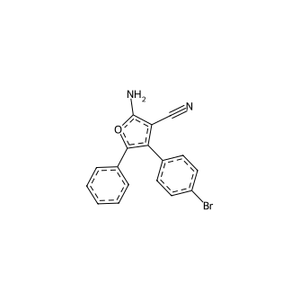 N#Cc1c(N)oc(-c2ccccc2)c1-c1ccc(Br)cc1